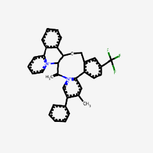 C=C1C2C(CCc3cc(C(F)(F)F)ccc3-c3cc(C)c(-c4ccccc4)c[n+]31)c1ccccc1-c1cccc[n+]12